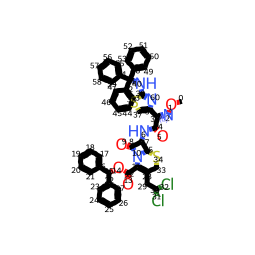 CO/N=C(/C(=O)NC1C(=O)N2C(C(=O)OC(c3ccccc3)c3ccccc3)=C(CC(Cl)Cl)CSC12)c1csc(NC(c2ccccc2)(c2ccccc2)c2ccccc2)n1